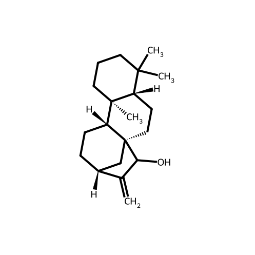 C=C1C(O)[C@]23CC[C@H]4C(C)(C)CCC[C@]4(C)[C@H]2CC[C@@H]1C3